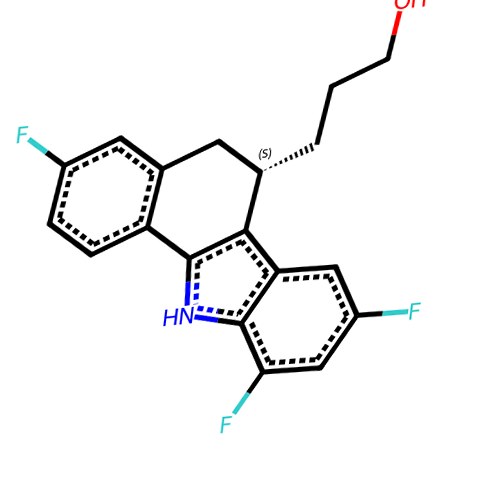 OCCC[C@H]1Cc2cc(F)ccc2-c2[nH]c3c(F)cc(F)cc3c21